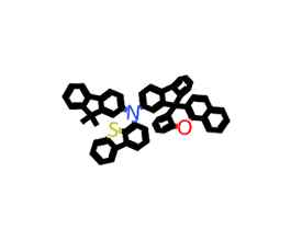 CC1(C)c2ccccc2-c2ccc(N(c3ccc4c(c3)C3(c5ccccc5Oc5c3ccc3ccccc53)c3ccccc3-4)c3cccc4c3sc3ccccc34)cc21